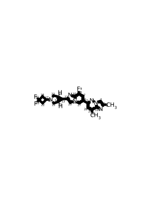 Cc1cn2nc(-c3cc(F)c4nc(C5[C@H]6CN(C7CC(F)(F)C7)C[C@@H]56)cn4c3)cc(C)c2n1